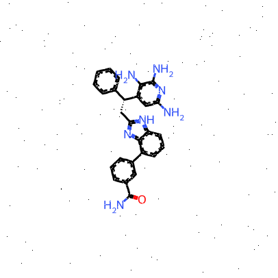 NC(=O)c1cccc(-c2cccc3[nH]c(C[C@H](c4ccccc4)c4cc(N)nc(N)c4N)nc23)c1